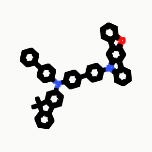 CC1(C)c2ccccc2-c2ccc(N(c3ccc(-c4ccccc4)cc3)c3ccc(-c4ccc(-n5c6ccccc6c6cc7oc8ccccc8c7cc65)cc4)cc3)cc21